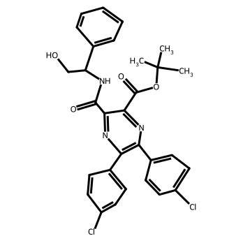 CC(C)(C)OC(=O)c1nc(-c2ccc(Cl)cc2)c(-c2ccc(Cl)cc2)nc1C(=O)NC(CO)c1ccccc1